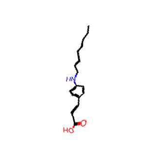 CCCCCCCCNc1ccc(C=CC(=O)O)cc1